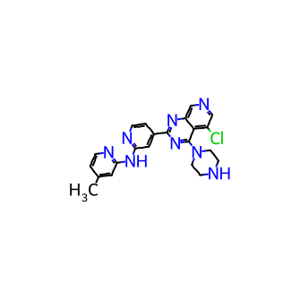 Cc1ccnc(Nc2cc(-c3nc(N4CCNCC4)c4c(Cl)cncc4n3)ccn2)c1